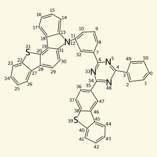 c1ccc(-c2nc(-c3cccc(-n4c5ccccc5c5c6sc7ccccc7c6ccc54)c3)nc(-c3ccc4sc5ccccc5c4c3)n2)cc1